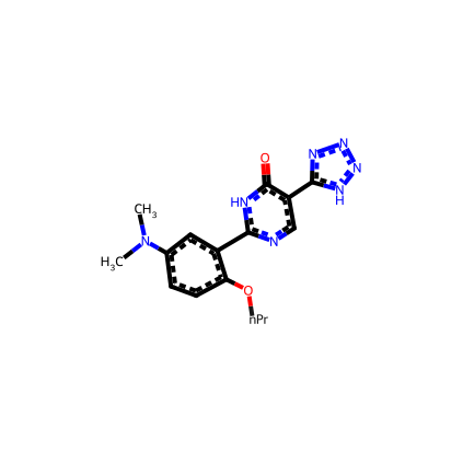 CCCOc1ccc(N(C)C)cc1-c1ncc(-c2nnn[nH]2)c(=O)[nH]1